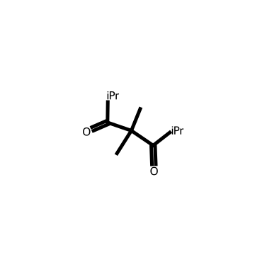 CC(C)C(=O)C(C)(C)C(=O)C(C)C